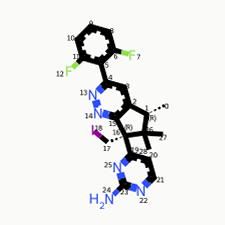 C[C@H]1c2cc(-c3c(F)cccc3F)nnc2[C@](CI)(c2ccnc(N)n2)C1(C)C